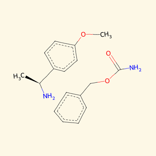 COc1ccc([C@H](C)N)cc1.NC(=O)OCc1ccccc1